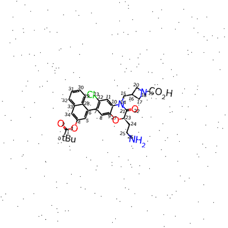 CC(C)(C)C(=O)Oc1cc(-c2cc3c(cc2Cl)N(CC2CN(C(=O)O)C2)C(=O)[C@@H](CCN)O3)c2ccccc2c1